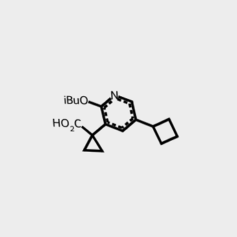 CC(C)COc1ncc(C2CCC2)cc1C1(C(=O)O)CC1